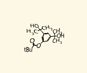 CC(C)(C)C(=O)Oc1cc(C(C)(C)O)cc(C(C)(C)O)c1